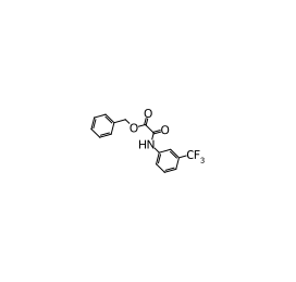 O=C(Nc1cccc(C(F)(F)F)c1)C(=O)OCc1ccccc1